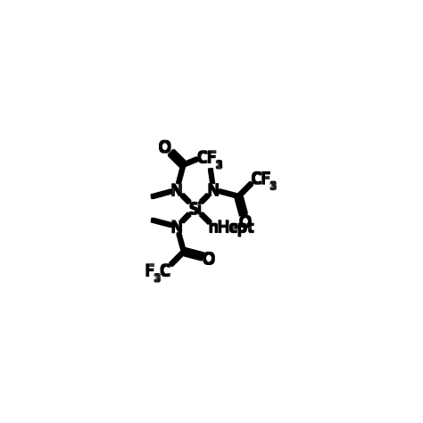 CCCCCCC[Si](N(C)C(=O)C(F)(F)F)(N(C)C(=O)C(F)(F)F)N(C)C(=O)C(F)(F)F